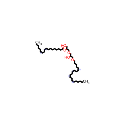 CCCCC/C=C\C/C=C\C/C=C\C/C=C\CCCCOCC(O)COCC(CO)OC(=O)CCCCCCC/C=C\C/C=C\CCCCC